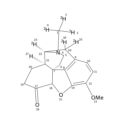 [2H]C([2H])([2H])N1CC[C@]23c4c5ccc(OC)c4OC2C(=O)CC[C@H]3[C@@]1([2H])C5([2H])[2H]